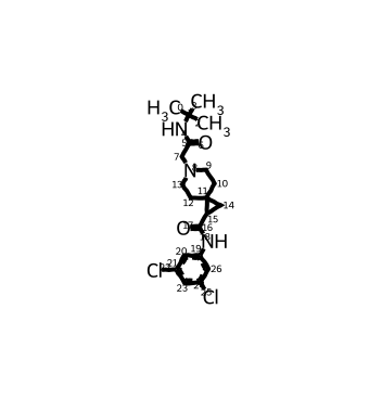 CC(C)(C)NC(=O)CN1CCC2(CC1)CC2C(=O)Nc1cc(Cl)cc(Cl)c1